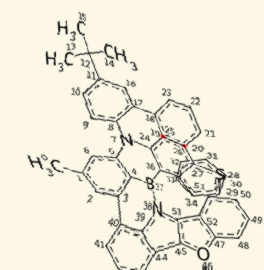 Cc1cc2c3c(c1)N(c1ccc(C(C)(C)C)cc1-c1ccccc1)c1ccc4sc5ccccc5c4c1B3n1c3c-2cccc3c2oc3ccccc3c21